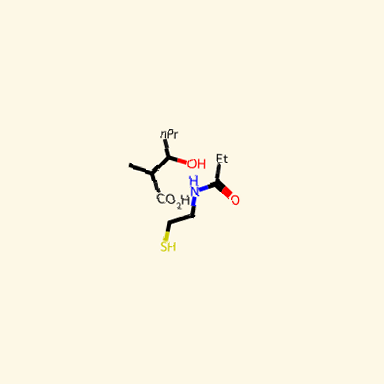 CCC(=O)NCCS.CCCC(O)C(C)C(=O)O